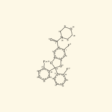 O=C(c1cc2c(cc1F)OC(c1ccccc1F)(c1ccccc1F)O2)N1CCOCC1